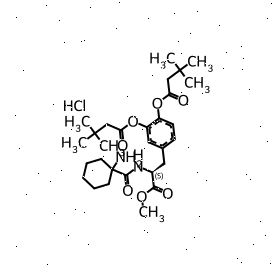 COC(=O)[C@H](Cc1ccc(OC(=O)CC(C)(C)C)c(OC(=O)CC(C)(C)C)c1)NC(=O)C1(N)CCCCC1.Cl